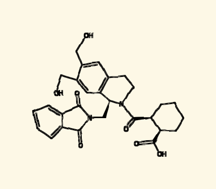 O=C(O)[C@@H]1CCCC[C@@H]1C(=O)N1CCc2cc(CO)c(CO)cc2[C@@H]1CN1C(=O)c2ccccc2C1=O